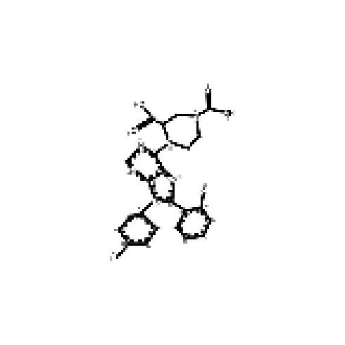 O=C(O)C1CN(C(=O)O)CCN1c1ncnc2c1nc(-c1ccccc1Cl)n2-c1ccc(Cl)cc1